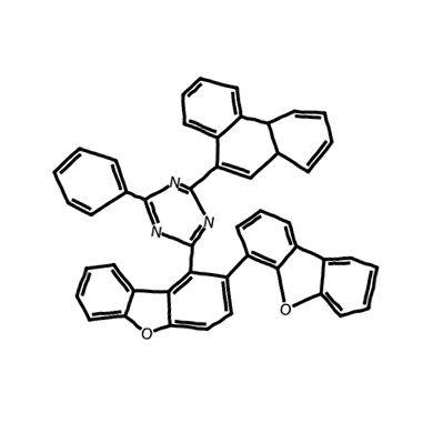 C1=CC2C=C(c3nc(-c4ccccc4)nc(-c4c(-c5cccc6c5oc5ccccc56)ccc5oc6ccccc6c45)n3)c3ccccc3C2C=C1